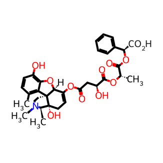 Cc1ccc(O)c2c1[C@]13CCN(C)[C@H](C)[C@]1(O)CC=C(OC(=O)C[C@H](O)C(=O)O[C@@H](C)C(=O)O[C@H](C(=O)O)c1ccccc1)[C@@H]3O2